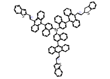 C(=C\c1c2ccccc2c(-c2ccc(N(c3ccc(-c4c5ccccc5c(/C=C/c5cc6ccccc6s5)c5ccccc45)c4ccccc34)c3ccc(-c4c5ccccc5c(/C=C/C5Cc6ccccc6S5)c5ccccc45)c4ccccc34)c3ccccc23)c2ccccc12)/c1cc2ccccc2s1